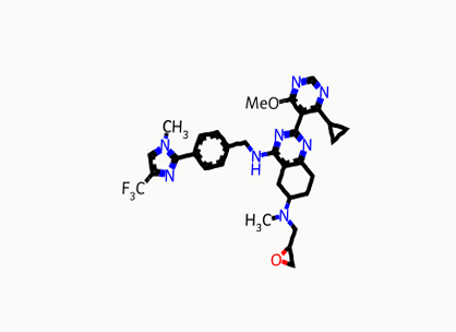 COc1ncnc(C2CC2)c1-c1nc2c(c(NCc3ccc(-c4nc(C(F)(F)F)cn4C)cc3)n1)CC(N(C)CC1CO1)CC2